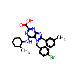 Cc1cccc(-c2nc3nc(C(=O)O)nc(NC4CCCCC4C)c3n2Cc2ccc(Br)cc2)c1